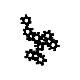 c1ccc(-c2ccc3oc4ccc(-c5cccc6c7ccccc7n(-c7ccc(-n8c9ccccc9c9ccccc98)s7)c56)cc4c3c2)cc1